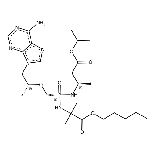 CCCCCOC(=O)C(C)(C)N[P@](=O)(CO[C@H](C)Cn1cnc2c(N)ncnc21)N[C@H](C)CC(=O)OC(C)C